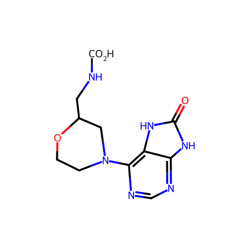 O=C(O)NCC1CN(c2ncnc3[nH]c(=O)[nH]c23)CCO1